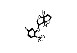 O=[N+]([O-])c1ccc(F)cc1OC1CO[C@@H]2CCO[C@H]12